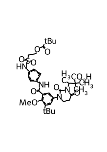 COc1c(C(=O)Nc2ccc(NS(=O)(=O)CCOC(=O)C(C)(C)C)cc2)cc(N2CCC(=O)N(C(C)C(C)(C)C(=O)O)C2=O)cc1C(C)(C)C